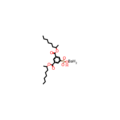 CCCCCCC(C)OC(=O)c1cc(C(=O)OC(C)CCCCCC)cc(S(=O)(=O)O)c1.[BaH2]